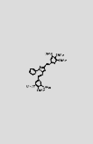 COc1cc(C=Cc2cc(C=Cc3cc(OC)c(OC)c(OC)c3)n(-c3ccccc3)n2)cc(OC)c1OC